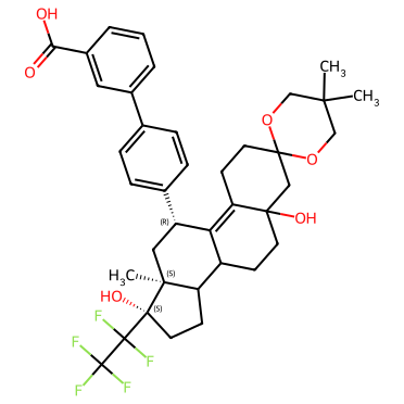 CC1(C)COC2(CCC3=C4C(CCC3(O)C2)C2CC[C@@](O)(C(F)(F)C(F)(F)F)[C@@]2(C)C[C@@H]4c2ccc(-c3cccc(C(=O)O)c3)cc2)OC1